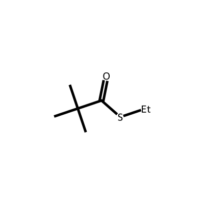 [CH2]CSC(=O)C(C)(C)C